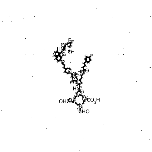 C#C[C@H]1CC(F)(F)CN1C(=O)CNC(=O)c1ccnc2ccc(OCCCC3CCN(C(=O)CN4C(=O)CC(SC(CCCCCNC(=O)CCCc5ccc(I)cc5)CNC(=O)CN5CCN(COC=O)CCN(COC=O)CCN(CC(=O)O)CC5)C4=O)CC3)cc12